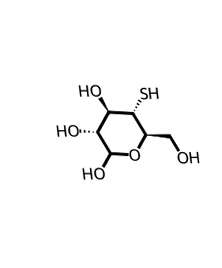 OC[C@H]1OC(O)[C@H](O)[C@@H](O)[C@@H]1S